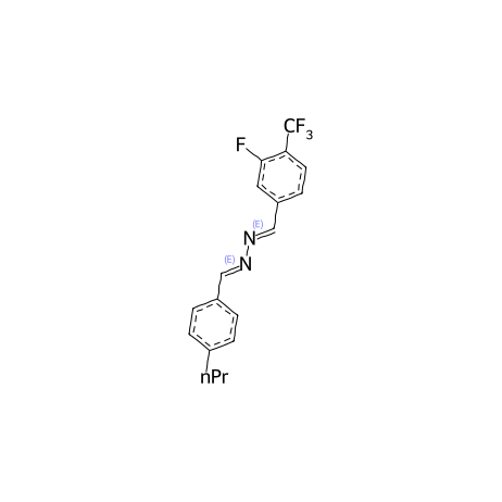 CCCc1ccc(/C=N/N=C/c2ccc(C(F)(F)F)c(F)c2)cc1